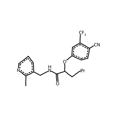 Cc1ncccc1CNC(=O)C(CC(C)C)Oc1ccc(C#N)c(C(F)(F)F)c1